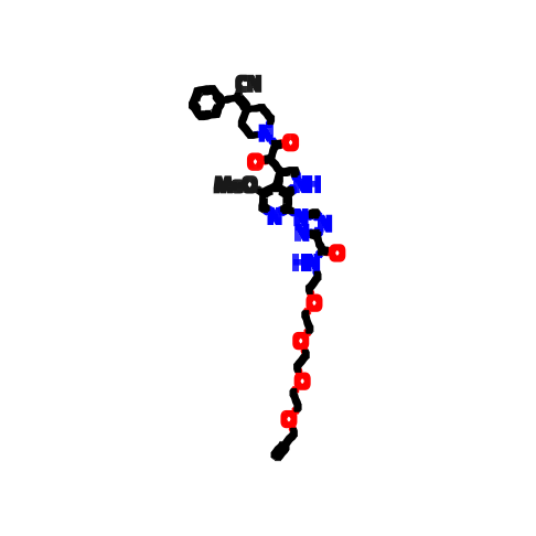 C#CCOCCOCCOCCOCCNC(=O)c1ncn(-c2ncc(OC)c3c(C(=O)C(=O)N4CCC(=C(C#N)c5ccccc5)CC4)c[nH]c23)n1